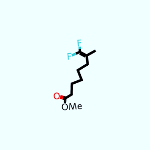 COC(=O)CCCCCC(C)=C(F)F